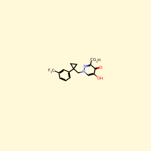 O=C(O)c1nn(CC2(c3cccc(C(F)(F)F)c3)CC2)cc(O)c1=O